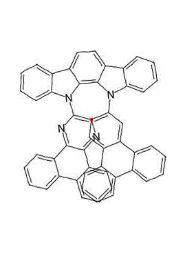 c1ccc2c(c1)c1ccccc1c1cc(-n3c4ccccc4c4ccc5c6ccccc6n(-c6cnc7c8ccccc8c8ccccc8c7n6)c5c43)ccc21